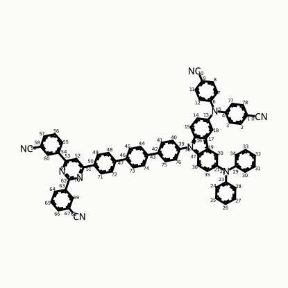 N#Cc1ccc(N(c2ccc(C#N)cc2)c2ccc3c(c2)c2cc(N(c4ccccc4)c4ccccc4)ccc2n3-c2ccc(-c3ccc(-c4ccc(-c5cc(-c6cccc(C#N)c6)nc(-c6cccc(C#N)c6)n5)cc4)cc3)cc2)cc1